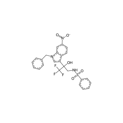 O=[N+]([O-])c1ccc2c(C(O)(CNS(=O)(=O)c3ccccc3)C(F)(F)F)cn(Cc3ccccc3)c2c1